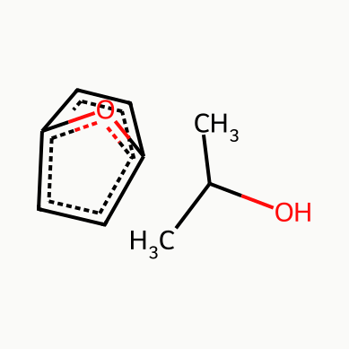 CC(C)O.c1cc2ccc1o2